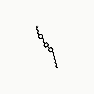 CCCCCCCCCC1CCC(C2CCC(CCC3CCC(CCCF)CC3)CC2)CC1